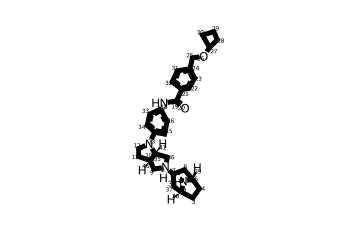 CN1[C@H]2CC[C@H]1CC(N1C[C@H]3CCN(c4ccc(NC(=O)c5ccc(COC6CCC6)cc5)cc4)[C@H]3C1)C2